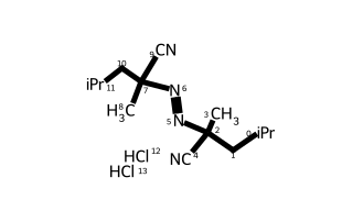 CC(C)CC(C)(C#N)/N=N/C(C)(C#N)CC(C)C.Cl.Cl